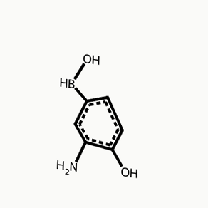 Nc1cc(BO)ccc1O